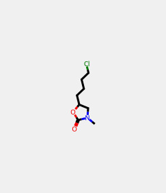 CN1CC(CCCCCl)OC1=O